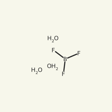 FB(F)F.O.O.O